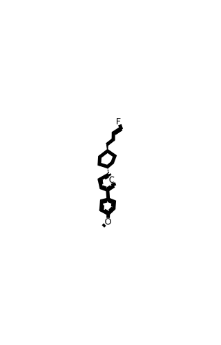 COc1ccc(-c2ccc([C@H]3CC[C@H](CC/C=C/F)CC3)cc2)cc1